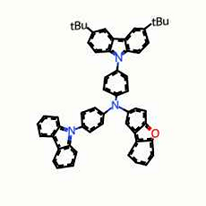 CC(C)(C)c1ccc2c(c1)c1cc(C(C)(C)C)ccc1n2-c1ccc(N(c2ccc(-n3c4ccccc4c4ccccc43)cc2)c2ccc3oc4ccccc4c3c2)cc1